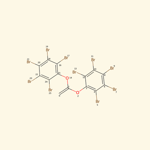 C=C(Oc1c(Br)c(Br)c(Br)c(Br)c1Br)Oc1c(Br)c(Br)c(Br)c(Br)c1Br